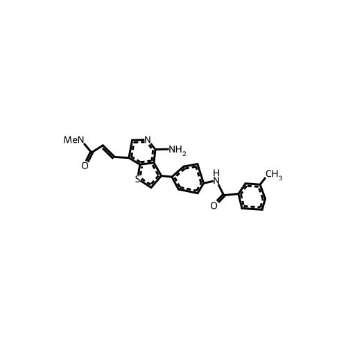 CNC(=O)/C=C/c1cnc(N)c2c(-c3ccc(NC(=O)c4cccc(C)c4)cc3)csc12